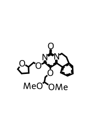 COC(COc1c(OCC2CCCO2)nc(=O)n2c1-c1ccccc1CC2)OC